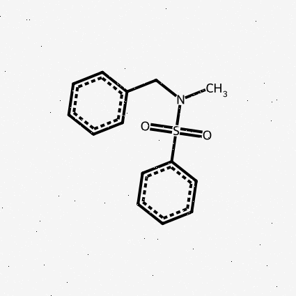 CN(Cc1ccccc1)S(=O)(=O)c1ccccc1